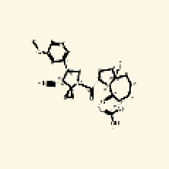 COc1cncc([C@H]2CN(C(=O)[C@@H]3CC[C@@H]4CCC[C@H](NC(=O)O)C(=O)N43)C3(CC3)[C@@H]2C#N)c1